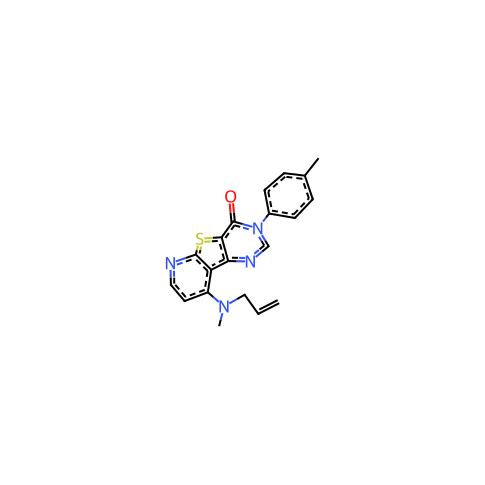 C=CCN(C)c1ccnc2sc3c(=O)n(-c4ccc(C)cc4)cnc3c12